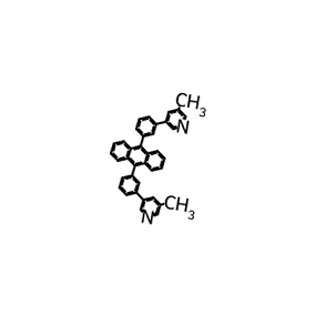 Cc1cncc(-c2cccc(-c3c4ccccc4c(-c4cccc(-c5cncc(C)c5)c4)c4ccccc34)c2)c1